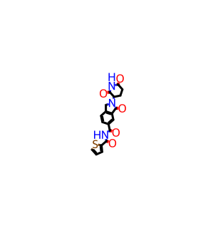 O=C1CCC(N2Cc3ccc(C(=O)NC(=O)c4cccs4)cc3C2=O)C(=O)N1